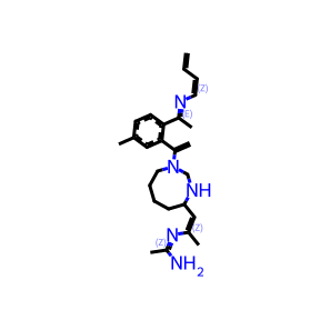 C=C/C=C\N=C(/C)c1ccc(C)cc1C(=C)N1CCCCC(/C=C(C)\N=C(\C)N)NC1